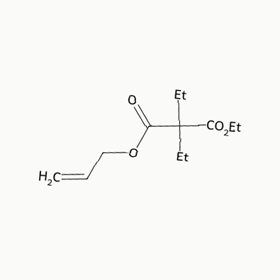 C=CCOC(=O)C(CC)(CC)C(=O)OCC